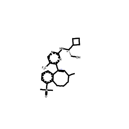 CC1/C=C(/c2nc(N[C@@H](CO)C3CCC3)ncc2C(F)(F)F)c2cccc(P(C)(C)=O)c2CCC1